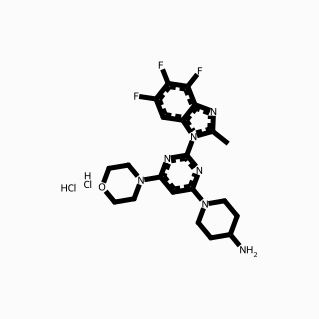 Cc1nc2c(F)c(F)c(F)cc2n1-c1nc(N2CCOCC2)cc(N2CCC(N)CC2)n1.Cl.Cl